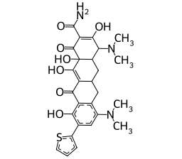 CN(C)c1cc(-c2cccs2)c(O)c2c1CC1CC3C(N(C)C)C(O)=C(C(N)=O)C(=O)C3(O)C(O)=C1C2=O